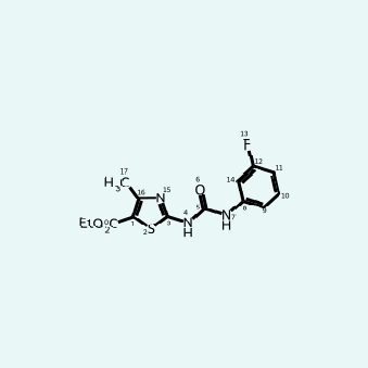 CCOC(=O)c1sc(NC(=O)Nc2cccc(F)c2)nc1C